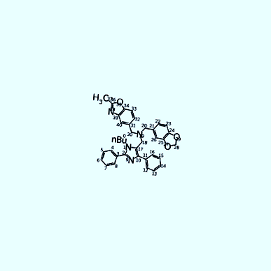 CCCCn1c(-c2ccccc2)nc(-c2ccccc2)c1CN(Cc1ccc2c(c1)OCO2)Cc1ccc2oc(C)nc2c1